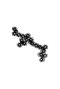 c1ccc(-n2c3ccccc3c3c(-c4ccc5c6ccccc6n(-c6ccc(-c7ccc(-c8ccc9oc%10c(-c%11cc(-c%12cccc%13c%12c%12ccccc%12n%13-c%12ccccc%12)cc%12c%11c%11ccccc%11n%12-c%11ccc(-c%12ccc(-c%13cccc%14c%13oc%13ccccc%13%14)cc%12)cc%11)cccc%10c9c8)cc7)cc6)c5c4)cccc32)cc1